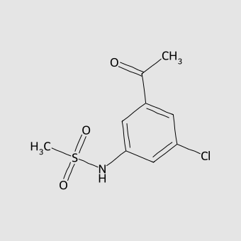 CC(=O)c1cc(Cl)cc(NS(C)(=O)=O)c1